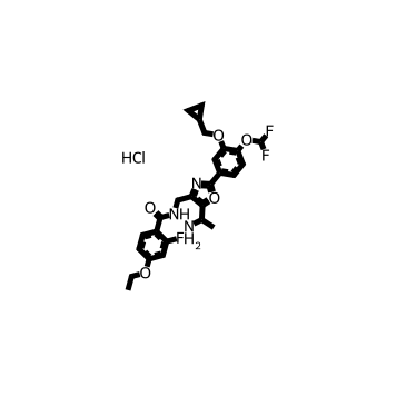 CCOc1ccc(C(=O)NCc2nc(-c3ccc(OC(F)F)c(OCC4CC4)c3)oc2C(C)N)c(F)c1.Cl